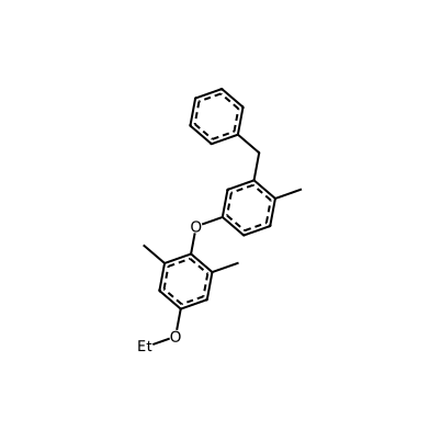 CCOc1cc(C)c(Oc2ccc(C)c(Cc3ccccc3)c2)c(C)c1